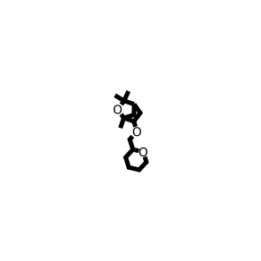 CC1(C)OC2(C)CC1CC2OCC1CCCCO1